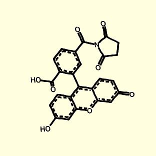 O=C(O)c1ccc(C(=O)N2C(=O)CCC2=O)cc1-c1c2ccc(=O)cc-2oc2cc(O)ccc12